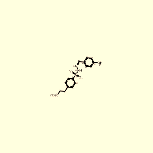 CCCCCCCCCCCCc1ccc(S(=O)(=O)N/N=C\c2ccc(O)cc2)cc1